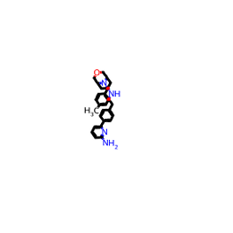 Cc1ccc(CN2C3COCC2CC(NCCc2ccc(-c4cccc(N)n4)cc2)C3)cc1